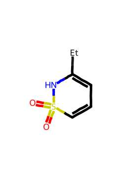 CCC1=CC=CS(=O)(=O)N1